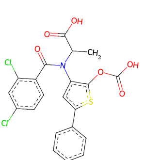 CC(C(=O)O)N(C(=O)c1ccc(Cl)cc1Cl)c1cc(-c2ccccc2)sc1OC(=O)O